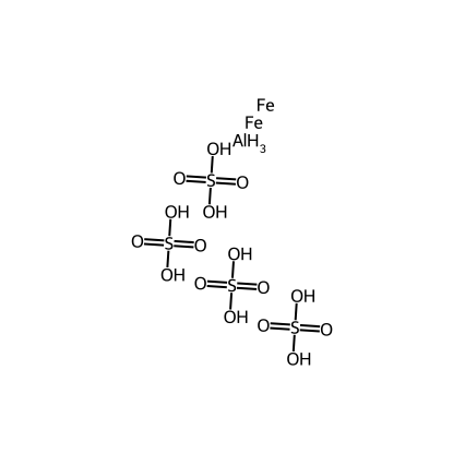 O=S(=O)(O)O.O=S(=O)(O)O.O=S(=O)(O)O.O=S(=O)(O)O.[AlH3].[Fe].[Fe]